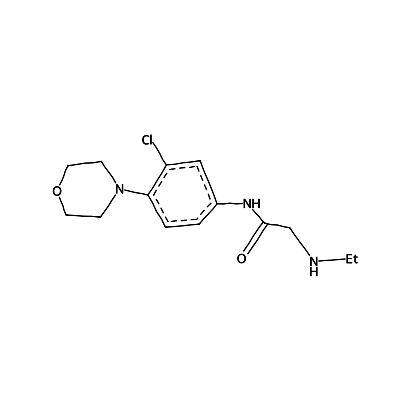 CCNCC(=O)Nc1ccc(N2CCOCC2)c(Cl)c1